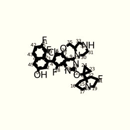 Oc1cc(-c2c(Cl)c3c4c(nc(OC5(C67CCCN6CC(F)C7)CC5)nc4c2F)N2CCNCC2CO3)c2c(F)c(F)ccc2c1